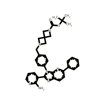 CC(C)(C)OC(=O)N1CC2(CN(Cc3ccc(-n4c(-c5cccnc5N)nc5ccc(-c6ccccc6)nc54)cc3)C2)C1